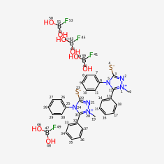 C[n+]1nc([S-])n(-c2ccccc2)c1-c1ccccc1.C[n+]1nc([S-])n(-c2ccccc2)c1-c1ccccc1.OB(O)F.OB(O)F.OB(O)F.OB(O)F